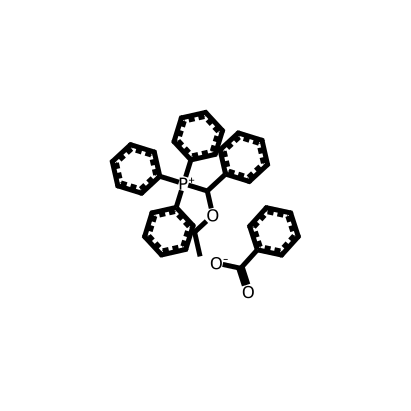 CCOC(c1ccccc1)[P+](c1ccccc1)(c1ccccc1)c1ccccc1.O=C([O-])c1ccccc1